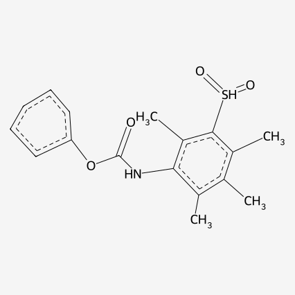 Cc1c(C)c(NC(=O)Oc2ccccc2)c(C)c([SH](=O)=O)c1C